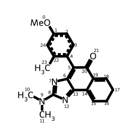 COc1ccc(C2=C3N=C(N(C)C)N=C3C3=CCCC=C3C2=O)c(C)c1